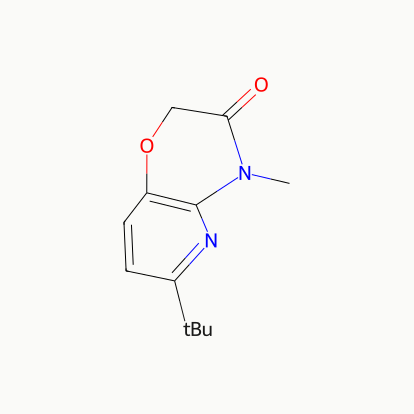 CN1C(=O)COc2ccc(C(C)(C)C)nc21